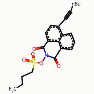 CCCCC#Cc1ccc2c3c(cccc13)C(=O)N(OS(=O)(=O)CCCC(F)(F)F)C2=O